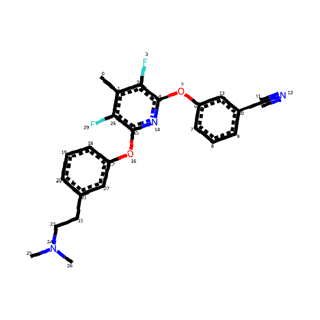 Cc1c(F)c(Oc2cccc(C#N)c2)nc(Oc2cccc(CCN(C)C)c2)c1F